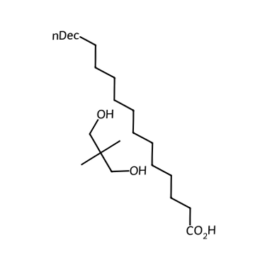 CC(C)(CO)CO.CCCCCCCCCCCCCCCCCCCCCC(=O)O